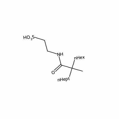 CCCCCCCC(C)(CCCCCC)C(=O)NCCS(=O)(=O)O